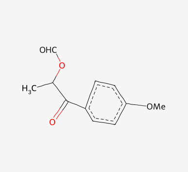 COc1ccc(C(=O)C(C)OC=O)cc1